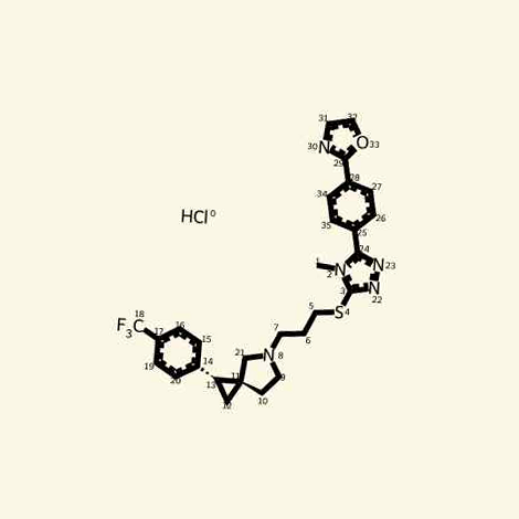 Cl.Cn1c(SCCCN2CC[C@]3(C[C@@H]3c3ccc(C(F)(F)F)cc3)C2)nnc1-c1ccc(-c2ncco2)cc1